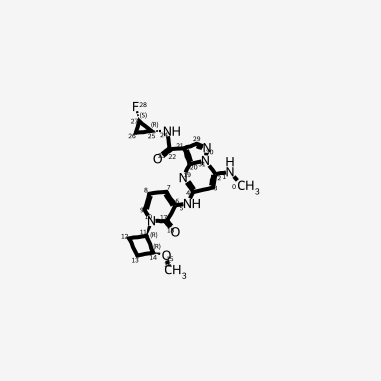 CNc1cc(Nc2cccn([C@@H]3CC[C@H]3OC)c2=O)nc2c(C(=O)N[C@@H]3C[C@@H]3F)cnn12